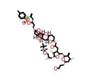 C=C(Br)C[C@@H](CC[C@@]12C[C@H]3O[C@H]4C(O1)[C@H]1O[C@@H](CC(=O)CC5C(C[C@H]6O[C@@H](CCC=O)C[C@@H](C)C6=C)O[C@H](C[C@H](C)CO[Si](C)(C)C(C)(C)C)[C@@H]5C)CC[C@@H]1O[C@H]4[C@H]3O2)OS(=O)(=O)c1ccc(C)cc1